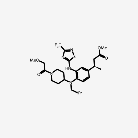 COCC(=O)N1CCC(N(CC(C)C)c2ccc([C@H](C)CC(=O)OC)cc2Nc2nc(C(F)(F)F)ns2)CC1